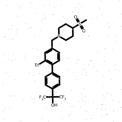 CCc1cc(CN2CCC(S(C)(=O)=O)CC2)ccc1-c1ccc(C(O)(C(F)(F)F)C(F)(F)F)cc1